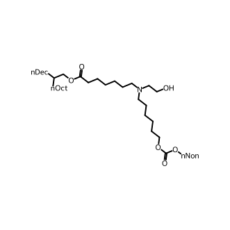 CCCCCCCCCCC(CCCCCCCC)COC(=O)CCCCCCN(CCO)CCCCCCOC(=O)OCCCCCCCCC